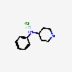 Cl.Cl.c1ccc(NC2CCNCC2)cc1